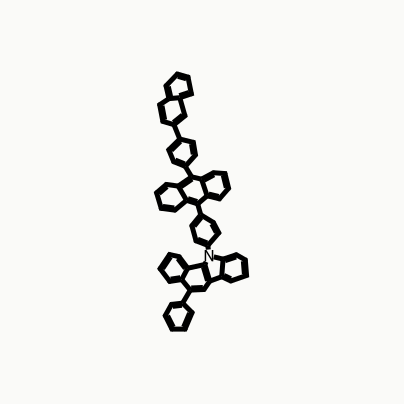 c1ccc(-c2cc3c4ccccc4n(-c4ccc(-c5c6ccccc6c(-c6ccc(-c7ccc8ccccc8c7)cc6)c6ccccc56)cc4)c3c3ccccc23)cc1